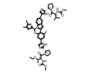 CCOC(C)[C@H](NC(=O)OC)C(=O)N1CCC[C@H]1c1ncc(-c2cc(F)c3c(c2)OC(c2cc(C)c(C)s2)n2c-3cc3cc(-c4cnc([C@@H]5CCCN5C(=O)[C@@H](NC(=O)OC)C(C)C)[nH]4)ccc32)[nH]1